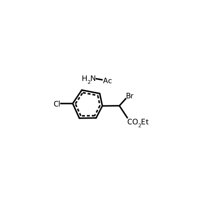 CC(N)=O.CCOC(=O)C(Br)c1ccc(Cl)cc1